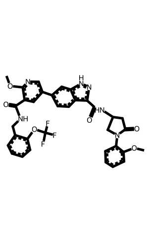 COc1ccccc1N1CC(NC(=O)c2n[nH]c3cc(-c4cnc(OC)c(C(=O)NCc5ccccc5OC(F)(F)F)c4)ccc23)CC1=O